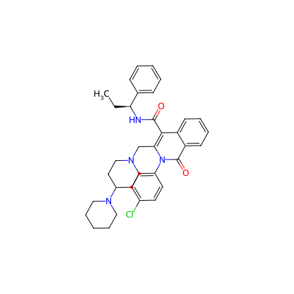 CC[C@H](NC(=O)c1c(CN2CCC(N3CCCCC3)CC2)n(-c2ccc(Cl)cc2)c(=O)c2ccccc12)c1ccccc1